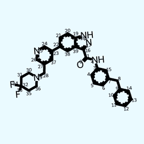 O=C(Nc1cccc(Cc2ccccc2)c1)c1n[nH]c2ccc(-c3cncc(CN4CCC(F)(F)CC4)c3)cc12